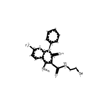 CNc1c(C(=O)NCCO)c(=O)n(-c2ccccc2)c2nc(C(F)(F)F)ccc12